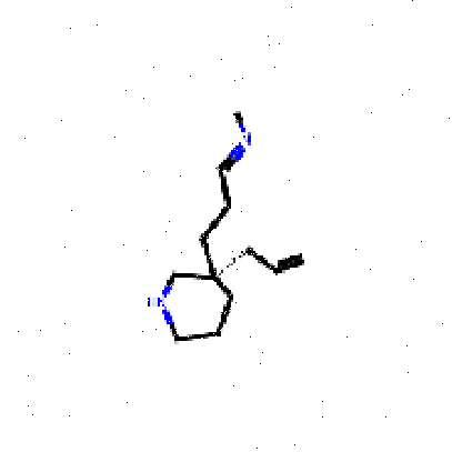 C=CC[C@]1(CC/C=N/C)CCCNC1